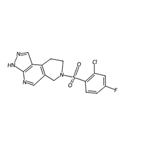 O=S(=O)(c1ccc(F)cc1Cl)N1CCc2c(cnc3[nH]ncc23)C1